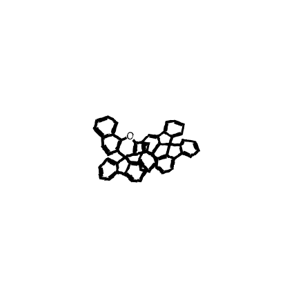 c1ccc2c(c1)-c1ccccc1C21c2cc(-c3cccc4c3C3(c5ccccc5-4)c4ccccc4-c4ccc5ccccc5c43)ccc2Oc2c1ccc1ccccc21